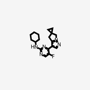 Fc1cnc(NC2CCCCC2)nc1-c1cnn2c1CC1(CC1)C2